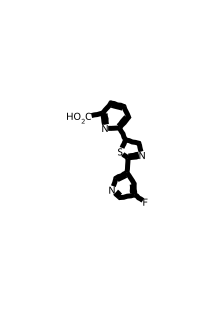 O=C(O)c1cccc(C2CN=C(c3cncc(F)c3)S2)n1